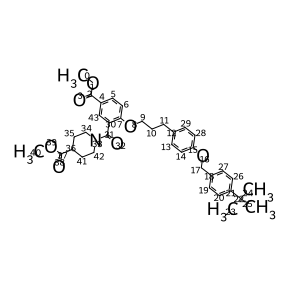 COC(=O)c1ccc(OCCCc2ccc(OCc3ccc(C(C)(C)C)cc3)cc2)c(C(=O)N2CCC(C(=O)OC)CC2)c1